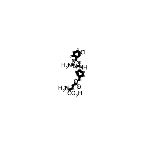 Cc1ccc(Cl)cc1-c1nc(N)nc(Nc2ccc(COC(=O)CC[C@H](N)C(=O)O)cc2)n1